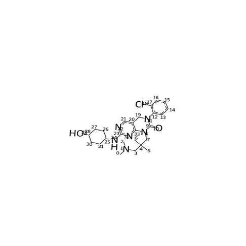 CN(C)CC(C)(C)CN1C(=O)N(c2ccccc2Cl)Cc2cnc(N[C@H]3CC[C@H](O)CC3)nc21